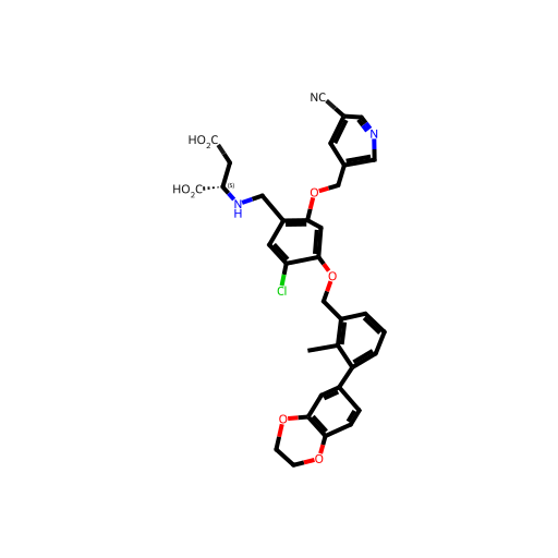 Cc1c(COc2cc(OCc3cncc(C#N)c3)c(CN[C@@H](CC(=O)O)C(=O)O)cc2Cl)cccc1-c1ccc2c(c1)OCCO2